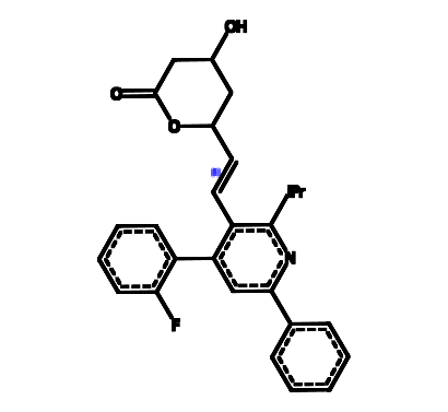 CC(C)c1nc(-c2ccccc2)cc(-c2ccccc2F)c1/C=C/C1CC(O)CC(=O)O1